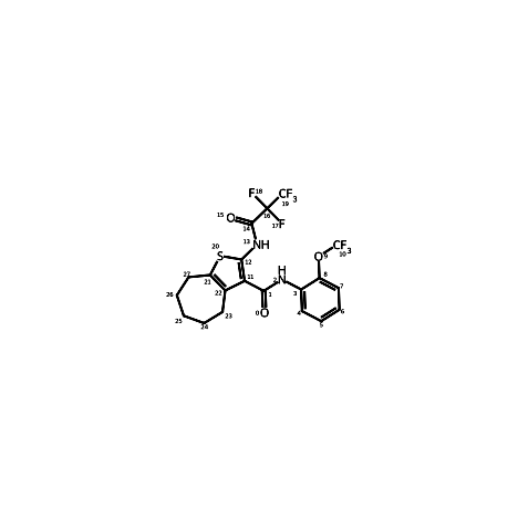 O=C(Nc1ccccc1OC(F)(F)F)c1c(NC(=O)C(F)(F)C(F)(F)F)sc2c1CCCCC2